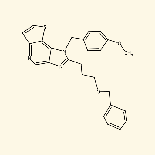 COc1ccc(Cn2c(CCCOCc3ccccc3)nc3cnc4ccsc4c32)cc1